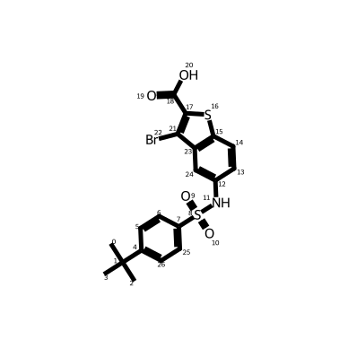 CC(C)(C)c1ccc(S(=O)(=O)Nc2ccc3sc(C(=O)O)c(Br)c3c2)cc1